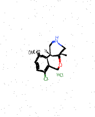 COc1ccc(Cl)c2c1[C@@H]1CNC[C@]1(C)OC2.Cl